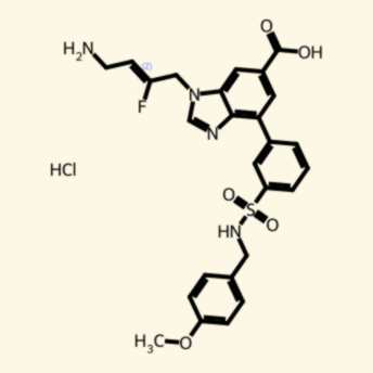 COc1ccc(CNS(=O)(=O)c2cccc(-c3cc(C(=O)O)cc4c3ncn4C/C(F)=C/CN)c2)cc1.Cl